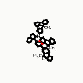 CC1(C)c2ccccc2-c2cc(N(c3ccc(C(C)(c4ccccc4)c4ccccc4)cc3)c3ccc4ccccc4c3-c3ccc(-c4ccc5c(c4)C(C)(C)c4ccccc4-5)cc3)ccc21